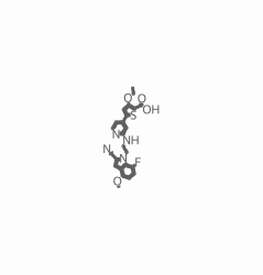 CCOc1cc(-c2ccnc(NCCn3c(C#N)cc4c(OC)ccc(F)c43)c2)sc1C(=O)O